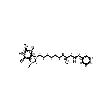 CN1CN(CCCCCCCC(O)CNCc2ccccc2)c2c1c(=O)[nH]c(=O)n2C